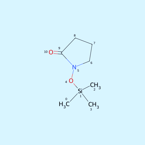 C[Si](C)(C)ON1CCCC1=O